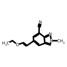 CCOC=Cc1cc(C#N)c2nn(C)cc2c1